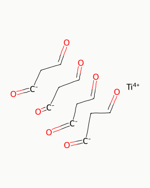 O=[C-]CC=O.O=[C-]CC=O.O=[C-]CC=O.O=[C-]CC=O.[Ti+4]